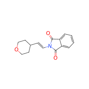 O=C1c2ccccc2C(=O)N1C=CC1CCOCC1